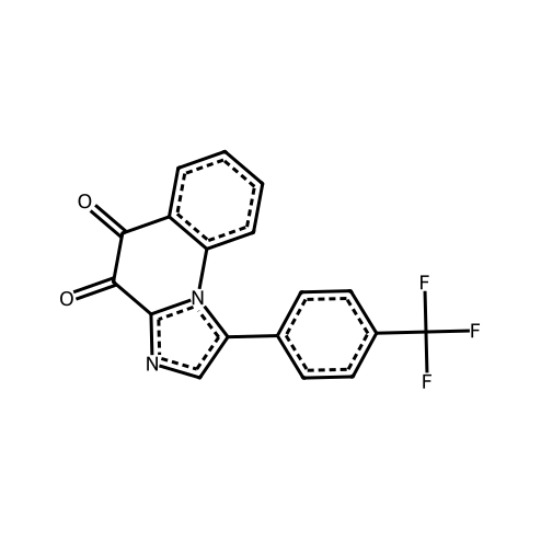 O=C1C(=O)c2ncc(-c3ccc(C(F)(F)F)cc3)n2-c2ccccc21